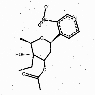 CC[C@@]1(O)[C@@H](C)O[C@@H](c2ccncc2[N+](=O)[O-])C[C@H]1OC(C)=O